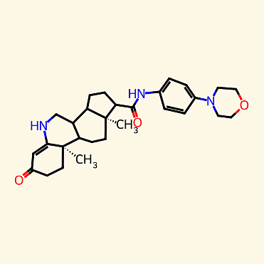 C[C@]12CCC3C(CNC4=CC(=O)CC[C@@]43C)C1CCC2C(=O)Nc1ccc(N2CCOCC2)cc1